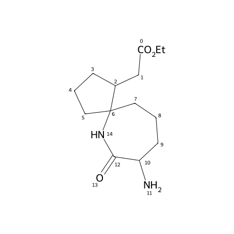 CCOC(=O)CC1CCCC12CCCC(N)C(=O)N2